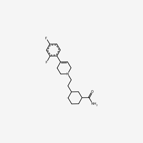 NC(=O)C1CC[CH]C(CCN2CC=C(c3ccc(F)cc3F)CC2)C1